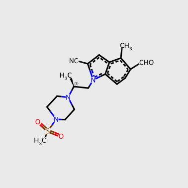 Cc1c(C=O)ccc2c1cc(C#N)n2C[C@H](C)N1CCN(S(C)(=O)=O)CC1